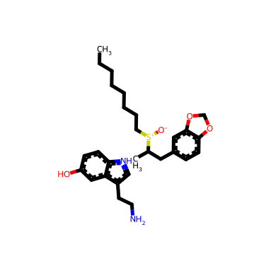 CCCCCCCC[S+]([O-])C(C)Cc1ccc2c(c1)OCO2.NCCc1c[nH]c2ccc(O)cc12